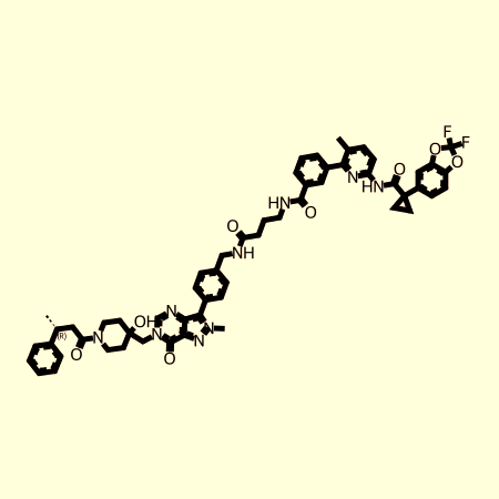 Cc1ccc(NC(=O)C2(c3ccc4c(c3)OC(F)(F)O4)CC2)nc1-c1cccc(C(=O)NCCCC(=O)NCc2ccc(-c3c4ncn(CC5(O)CCN(C(=O)C[C@@H](C)c6ccccc6)CC5)c(=O)c4nn3C)cc2)c1